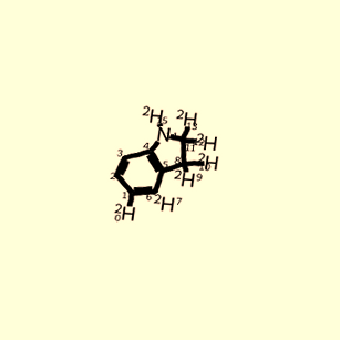 [2H]c1ccc2c(c1[2H])C([2H])([2H])C([2H])([2H])N2[2H]